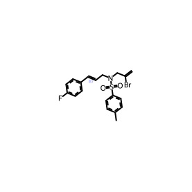 C=C(Br)CN(C/C=C/c1ccc(F)cc1)S(=O)(=O)c1ccc(C)cc1